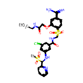 CCOC(=O)CNC(=O)COc1cc(C(=N)N)ccc1S(=O)(=O)CNC(=O)c1cc(Cl)cc(NC(c2ccccn2)S(=O)(=O)CC)c1